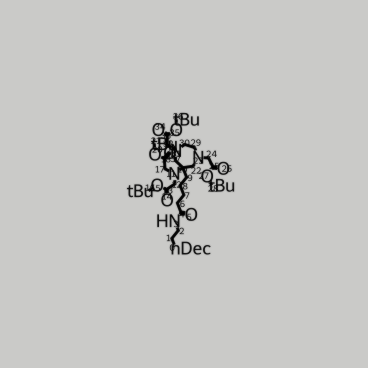 CCCCCCCCCCCCNC(=O)CCCCC1(N(CC(=O)OC(C)(C)C)CC(=O)OC(C)(C)C)CN(CC(=O)OC(C)(C)C)CCN(CC(=O)OC(C)(C)C)C1